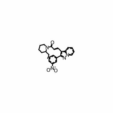 CCC1CCCCN1C(=O)/C=C/c1c(-c2cccc([N+](=O)[O-])c2)nn2ccccc12